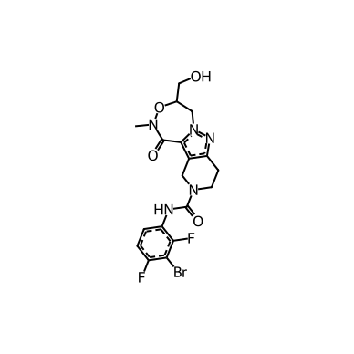 CN1OC(CO)Cn2nc3c(c2C1=O)CN(C(=O)Nc1ccc(F)c(Br)c1F)CC3